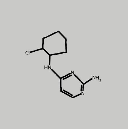 Nc1nccc(NC2CCCCC2Cl)n1